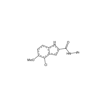 COc1ccc2[nH]c(C(=O)NC(C)C)cc2c1Cl